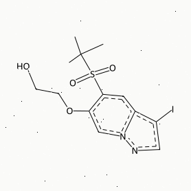 CC(C)(C)S(=O)(=O)c1cc2c(I)cnn2cc1OCCO